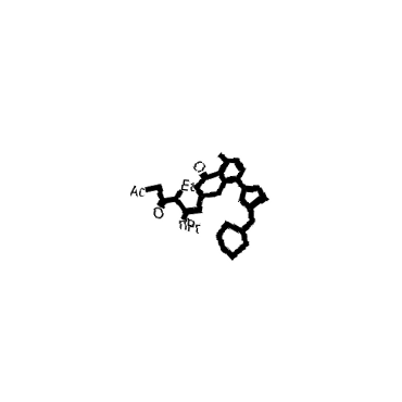 CCCC(CC1CC(=O)c2c(C)ccc(C3=CC=C(CC4CCCCC4)C3)c2C1)C(CC)C(=O)CC(C)=O